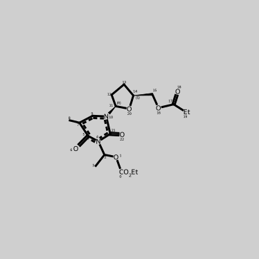 CCOC(=O)OC(C)n1c(=O)c(C)cn([C@H]2CC[C@@H](COC(=O)CC)O2)c1=O